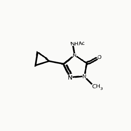 CC(=O)Nn1c(C2CC2)nn(C)c1=O